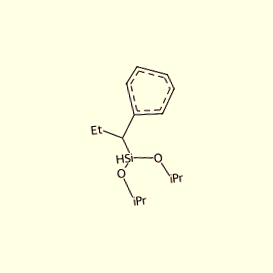 CCC(c1ccccc1)[SiH](OC(C)C)OC(C)C